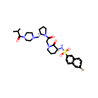 CC(C)C(=O)N1CCN(C[C@@H]2CCCN2C(=O)CN2CCC[C@H](NS(=O)(=O)c3ccc4cc(Br)ccc4c3)C2=O)CC1